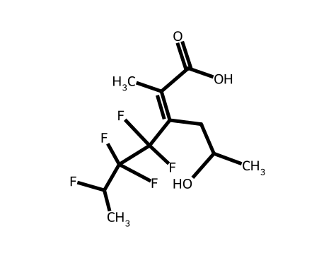 CC(C(=O)O)=C(CC(C)O)C(F)(F)C(F)(F)C(C)F